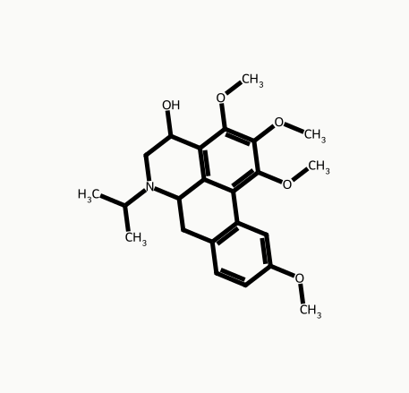 COc1ccc2c(c1)-c1c(OC)c(OC)c(OC)c3c1C(C2)N(C(C)C)CC3O